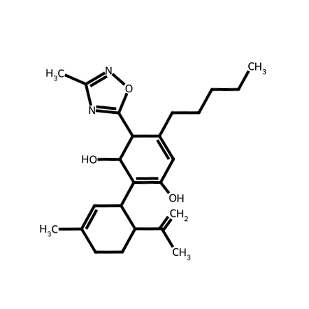 C=C(C)C1CCC(C)=CC1C1=C(O)C=C(CCCCC)C(c2nc(C)no2)C1O